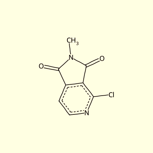 CN1C(=O)c2ccnc(Cl)c2C1=O